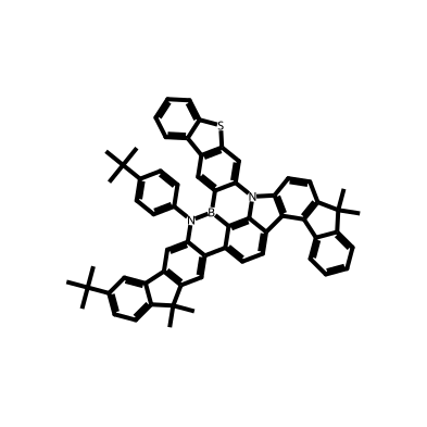 CC(C)(C)c1ccc(N2B3c4cc5c(cc4-n4c6ccc7c(c6c6ccc(c3c64)-c3cc4c(cc32)-c2cc(C(C)(C)C)ccc2C4(C)C)-c2ccccc2C7(C)C)sc2ccccc25)cc1